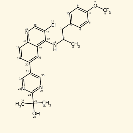 CC(Cc1ccc(OC(F)(F)F)cc1)Nc1c(Cl)cnc2ccc(-c3cnc(C(C)(C)O)nc3)cc12